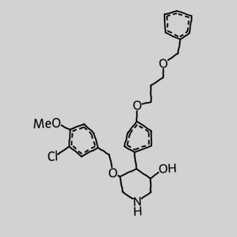 COc1ccc(COC2CNCC(O)C2c2ccc(OCCCOCc3ccccc3)cc2)cc1Cl